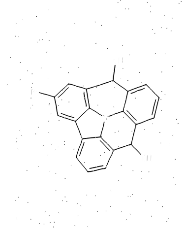 CC1c2cccc3c2-n2c4c1cccc4c1cc(Br)cc(c12)C3C